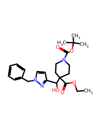 CCOC(=O)C1(C(O)c2ccn(Cc3ccccc3)n2)CCN(C(=O)OC(C)(C)C)CC1